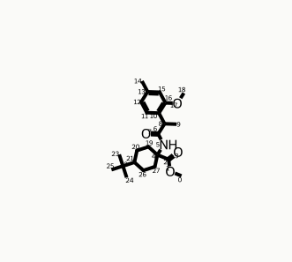 COC(=O)C1(NC(=O)C(C)c2ccc(C)cc2OC)CCC(C(C)(C)C)CC1